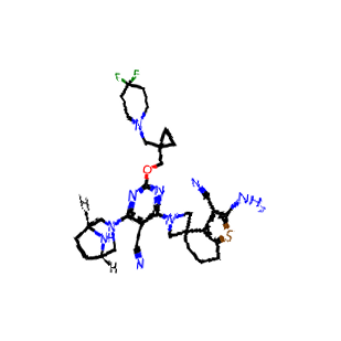 N#Cc1c(N2C[C@H]3CC[C@@H](C2)N3)nc(OCC2(CN3CCC(F)(F)CC3)CC2)nc1N1CC2(CCCc3sc(N)c(C#N)c32)C1